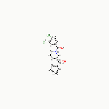 O=C(c1ccc(Cl)c(Cl)c1)N1CCCC([C@H](O)c2ccccc2)C1